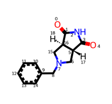 O=C1NC(=O)[C@@H]2CN(Cc3ccccc3)C[C@@H]12